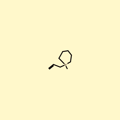 C=CC[N+]1(C)CCCCC1